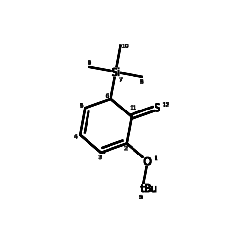 CC(C)(C)OC1=[C]C=CC([Si](C)(C)C)C1=S